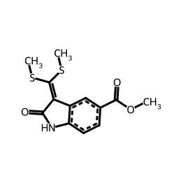 COC(=O)c1ccc2c(c1)C(=C(SC)SC)C(=O)N2